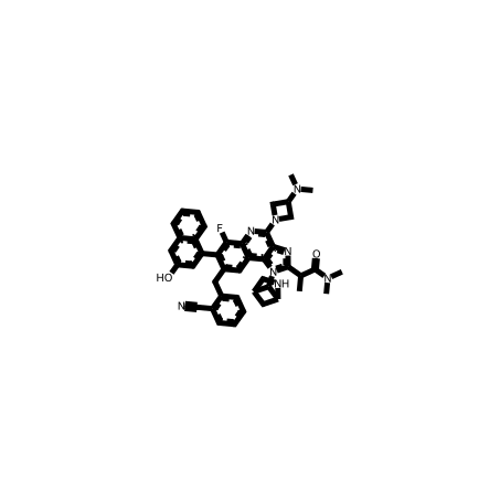 CC(C(=O)N(C)C)c1nc2c(N3CC(N(C)C)C3)nc3c(F)c(-c4cc(O)cc5ccccc45)c(Cc4ccccc4C#N)cc3c2n1C1C2CNC1C2